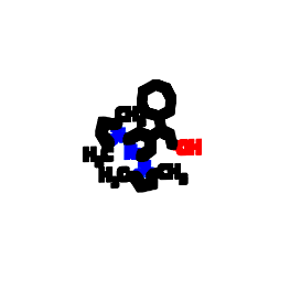 Cc1ccc(C)n1-c1cc(/C(=C\CO)C2CCCCCCC2)cc(-n2c(C)ccc2C)n1